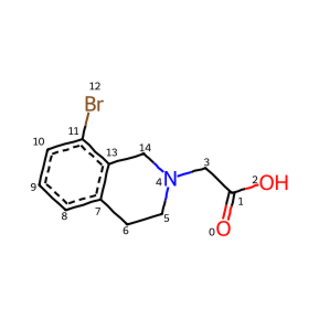 O=C(O)CN1CCc2cccc(Br)c2C1